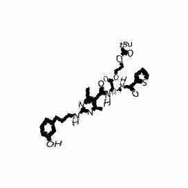 Cc1nc(NCCCc2cccc(O)c2)nc(C)c1C(=O)N[C@@H](CNC(=O)c1cccs1)C(=O)OCCOC(=O)C(C)(C)C